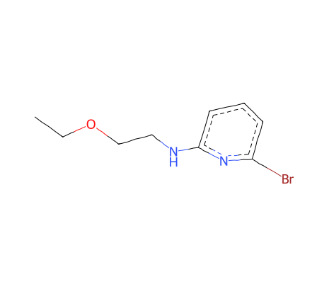 CCOCCNc1cccc(Br)n1